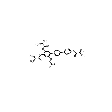 C=C(C)C(=O)Oc1ccc(-c2ccc(-c3cc(OC(=O)C(=C)C)c(OC(=O)C(=C)C)cc3OC=C(F)F)cc2)cc1